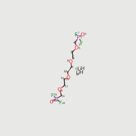 O=P(F)(F)COCCOCCOCCOCP(=O)(F)F.[LiH].[LiH]